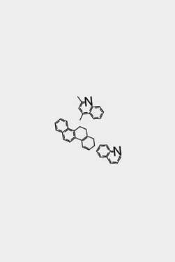 C1=CC2=C(CC1)CCc1c2ccc2ccccc12.Cc1cc(C)c2ccccc2n1.c1ccc2ncccc2c1